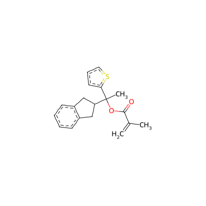 C=C(C)C(=O)OC(C)(c1cccs1)C1Cc2ccccc2C1